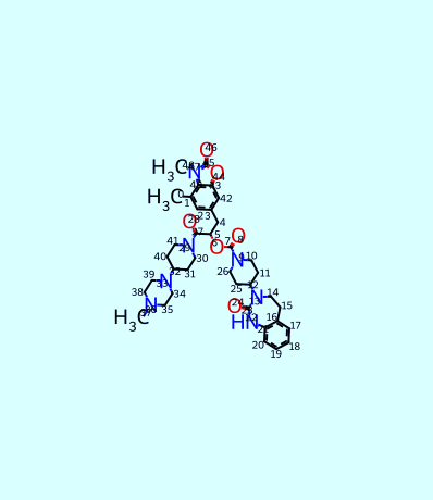 Cc1cc(CC(OC(=O)N2CCC(N3CCc4ccccc4NC3=O)CC2)C(=O)N2CCC(N3CCN(C)CC3)CC2)cc2oc(=O)n(C)c12